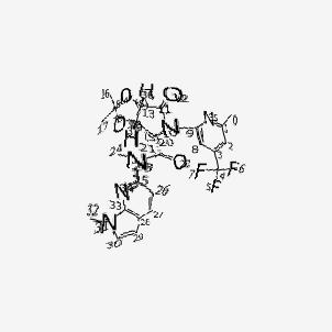 Cc1cc(C(F)(F)F)cc(N2C(=O)[C@H]3OC(C)(C)O[C@H]3[C@H]2C(=O)N(C)c2ccc3ccn(C)c3n2)n1